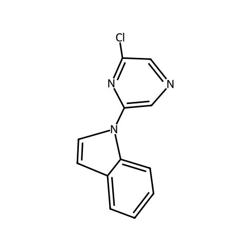 Clc1cncc(-n2ccc3ccccc32)n1